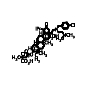 CC(C)C1=C2[C@H]3CC[C@@H]4[C@@]5(C)CC[C@H](OC(=O)CC(C)(C)C(=O)O)C(C)(C)[C@H]5CC[C@@]4(C)[C@]3(C)CCC2(C(O)CN(CCN(C)C)Cc2ccc(Cl)cc2)CC1=O